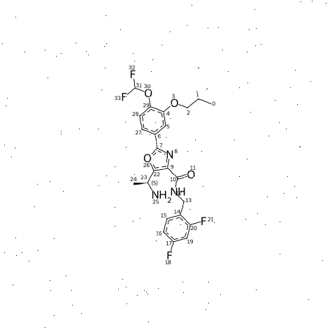 CCCOc1cc(-c2nc(C(=O)NCc3ccc(F)cc3F)c([C@H](C)N)o2)ccc1OC(F)F